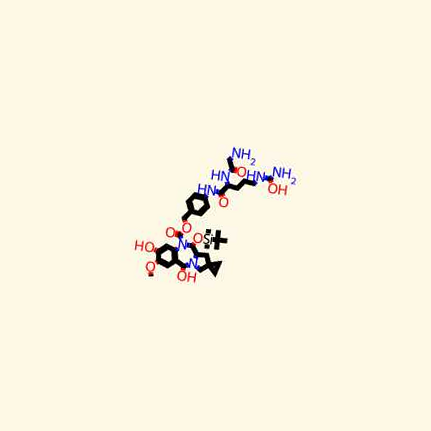 COc1cc2c(cc1O)N(C(=O)OCc1ccc(NC(=O)C(CCCNC(N)O)NC(=O)CN)cc1)C(O[Si](C)(C)C(C)(C)C)C1CC3(CC3)CN1C2O